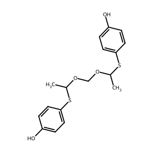 CC(OCOC(C)Sc1ccc(O)cc1)Sc1ccc(O)cc1